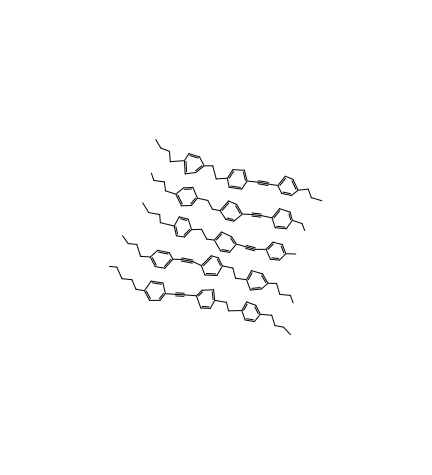 CCCCCc1ccc(C#Cc2ccc(CCc3ccc(CCCC)cc3)cc2)cc1.CCCCc1ccc(C#Cc2ccc(CCc3ccc(CCCC)cc3)cc2)cc1.CCCCc1ccc(CCc2ccc(C#Cc3ccc(C)cc3)cc2)cc1.CCCCc1ccc(CCc2ccc(C#Cc3ccc(CC)cc3)cc2)cc1.CCCCc1ccc(CCc2ccc(C#Cc3ccc(CCC)cc3)cc2)cc1